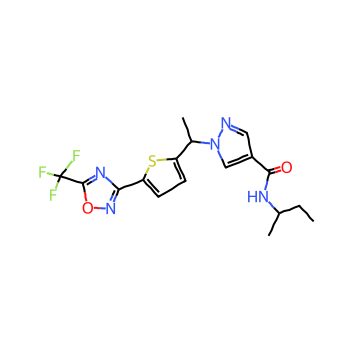 CCC(C)NC(=O)c1cnn(C(C)c2ccc(-c3noc(C(F)(F)F)n3)s2)c1